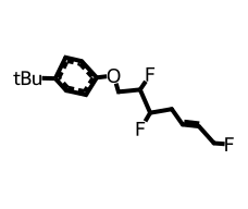 CC(C)(C)c1ccc(OCC(F)C(F)CC=CCF)cc1